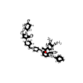 [2H]c1nc(-c2cnn(C3CCN(CC4CCN(C5=CC(=O)N(C6CCC(=O)NC6=O)C5=O)CC4)CC3)c2)c([C@H](C(=O)Nc2ccc(F)cc2)c2ccccc2)nc1N